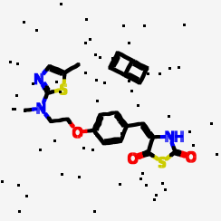 Cc1cnc(N(C)CCOc2ccc(C=C3NC(=O)SC3=O)cc2)s1.c1cc2ccc1-2